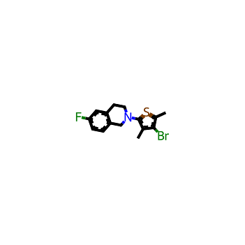 Cc1sc(N2CCc3cc(F)ccc3C2)c(C)c1Br